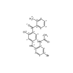 CC(=O)Nc1cc(Br)ccc1Nc1ccc(C(=O)c2ccccc2C)c(Cl)c1